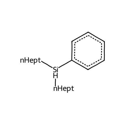 CCCCCCC[SiH](CCCCCCC)c1ccccc1